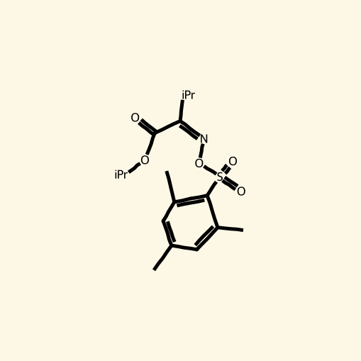 Cc1cc(C)c(S(=O)(=O)ON=C(C(=O)OC(C)C)C(C)C)c(C)c1